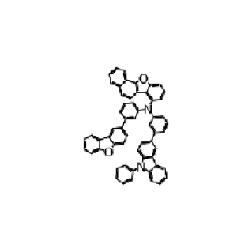 c1ccc(-n2c3ccccc3c3cc(-c4cccc(N(c5cccc(-c6ccc7oc8ccccc8c7c6)c5)c5cccc6oc7c8ccccc8ccc7c56)c4)ccc32)cc1